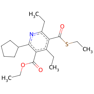 CCOC(=O)c1c(C2CCCC2)nc(CC)c(C(=O)SCC)c1CC